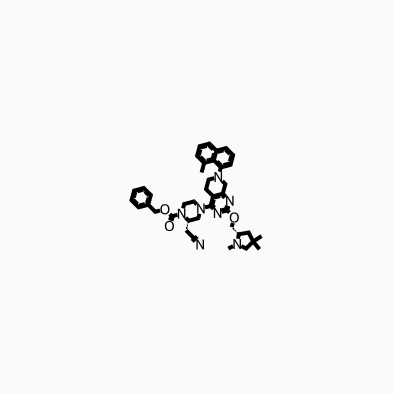 Cc1cccc2cccc(N3CCc4c(nc(OC[C@@H]5CC(C)(C)CN5C)nc4N4CCN(C(=O)OCc5ccccc5)[C@@H](CC#N)C4)C3)c12